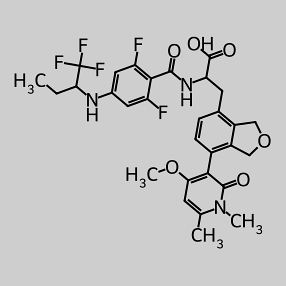 CCC(Nc1cc(F)c(C(=O)NC(Cc2ccc(-c3c(OC)cc(C)n(C)c3=O)c3c2COC3)C(=O)O)c(F)c1)C(F)(F)F